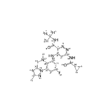 [2H]C([2H])([2H])NC(=O)c1nnc(NC(=O)C2CC2)cc1Nc1cc(F)cc2c1N(C)Cc1nc(C)nn1-2